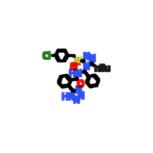 CCCCc1nnc([S+]([O-])Cc2ccc(Cl)cc2)n1C(NC(=O)c1ccccc1-c1nnn[nH]1)c1ccccc1